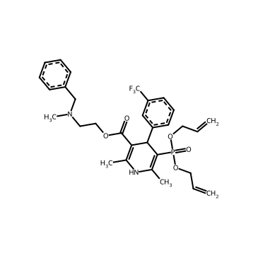 C=CCOP(=O)(OCC=C)C1=C(C)NC(C)=C(C(=O)OCCN(C)Cc2ccccc2)C1c1cccc(C(F)(F)F)c1